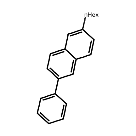 CCCCCCc1ccc2cc(-c3ccccc3)ccc2c1